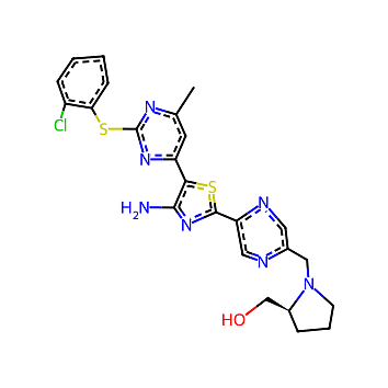 Cc1cc(-c2sc(-c3cnc(CN4CCC[C@H]4CO)cn3)nc2N)nc(Sc2ccccc2Cl)n1